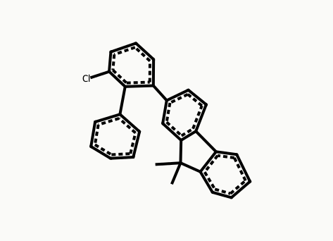 CC1(C)c2ccccc2-c2ccc(-c3cccc(Cl)c3-c3ccccc3)cc21